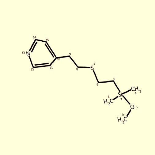 CO[Si](C)(C)CCSCCc1ccncc1